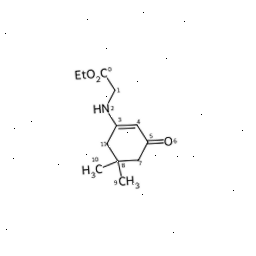 CCOC(=O)CNC1=CC(=O)CC(C)(C)C1